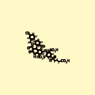 O=C(O)CCCS(=O)(=O)c1ccc(Nc2cc(S(=O)(=O)O)c3[nH]c(=O)c(C(=O)OCc4cccc(Cl)c4)c4c3c2C(=O)c2ccccc2-4)c(S(=O)(=O)O)c1